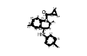 Cc1ccc(N[C@@H]2C[C@H](C)N(C(=O)C3CC3)c3ccc(C)cc32)cc1